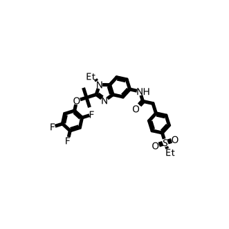 CCn1c(C(C)(C)Oc2cc(F)c(F)cc2F)nc2cc(NC(=O)Cc3ccc(S(=O)(=O)CC)cc3)ccc21